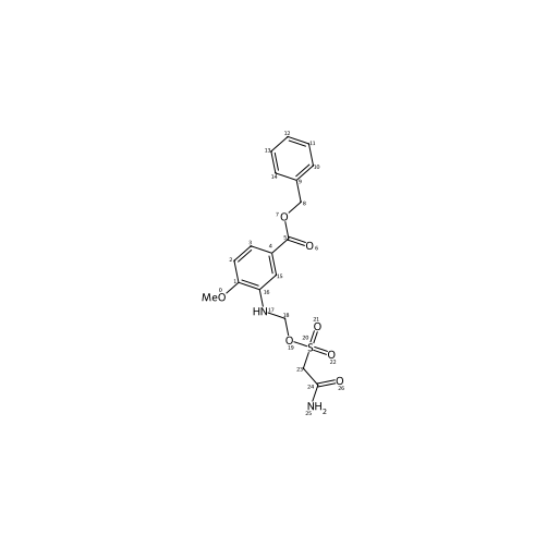 COc1ccc(C(=O)OCc2ccccc2)cc1NCOS(=O)(=O)CC(N)=O